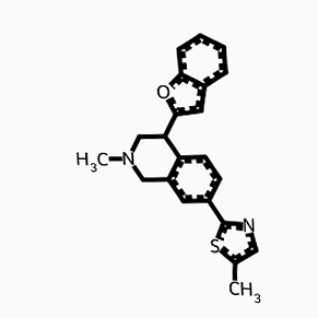 Cc1cnc(-c2ccc3c(c2)CN(C)CC3c2cc3ccccc3o2)s1